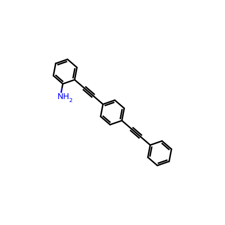 Nc1ccccc1C#Cc1ccc(C#Cc2ccccc2)cc1